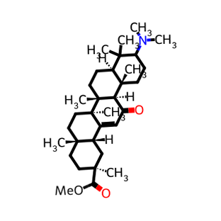 COC(=O)[C@@]1(C)CC[C@]2(C)CC[C@]3(C)C(=CC(=O)[C@@H]4[C@@]5(C)CCC(N(C)C)C(C)(C)[C@@H]5CC[C@]43C)[C@@H]2C1